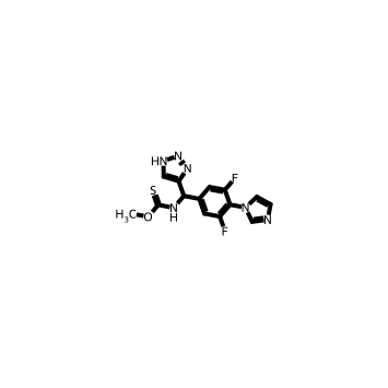 COC(=S)NC(c1cc(F)c(-n2ccnc2)c(F)c1)c1c[nH]nn1